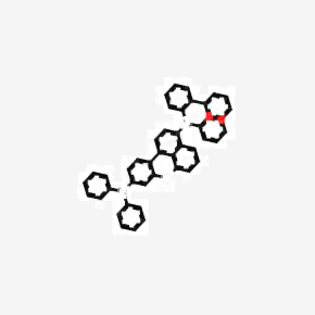 c1ccc(-c2ccccc2N(c2ccccc2)c2ccc3c4c(cccc24)Oc2cc(N(c4ccccc4)c4ccccc4)ccc2-3)cc1